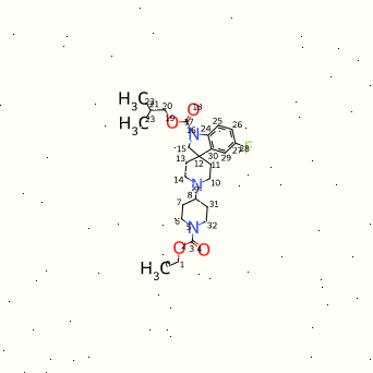 CCOC(=O)N1CCC(N2CCC3(CC2)CN(C(=O)OCC(C)C)c2ccc(F)cc23)CC1